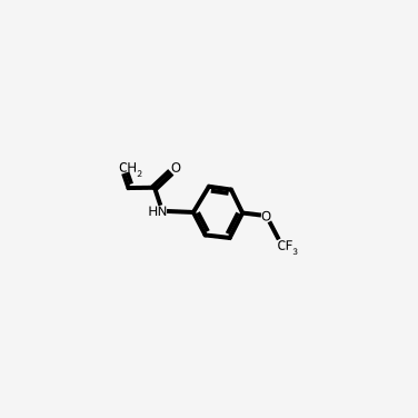 C=CC(=O)Nc1ccc(OC(F)(F)F)cc1